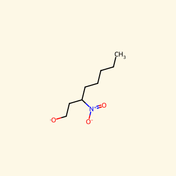 CCCCCC(CC[O])[N+](=O)[O-]